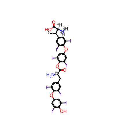 [3H]C(c1cc(I)c(Oc2cc(I)c(OC(=O)[C@@H](N)Cc3cc(I)c(Oc4cc(I)c(O)c(I)c4)c(I)c3)c(I)c2)c(I)c1)[C@@]([3H])(C(=O)O)N([3H])[3H]